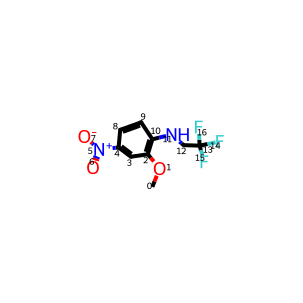 COc1cc([N+](=O)[O-])ccc1NCC(F)(F)F